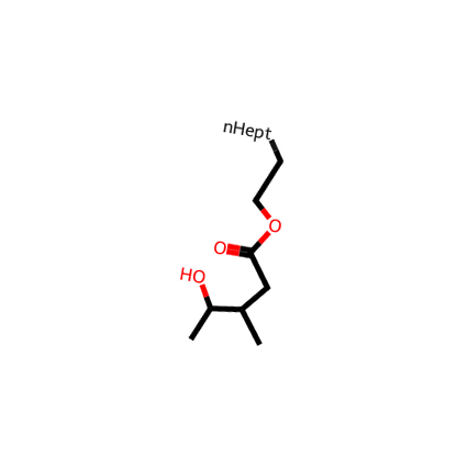 CCCCCCCCCOC(=O)CC(C)C(C)O